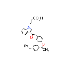 CC(C)Cc1ccc([C@@H](C)Oc2ccc(CC(=O)c3cn(CCCC(=O)O)c4ccccc34)cc2)cc1